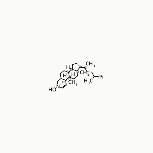 CC(C)C(C)CC[C@@H](C)[C@H]1CC[C@H]2[C@@H]3CCC4CN(O)C=C[C@]4(C)[C@H]3CC[C@]12C